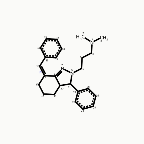 CN(C)CCCN1N=C2/C(=C\c3ccccc3)CCCC2C1c1ccccc1